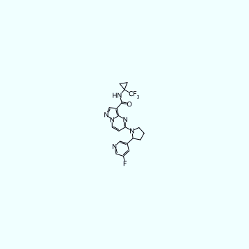 O=C(NC1(C(F)(F)F)CC1)c1cnn2ccc(N3CCCC3c3cncc(F)c3)nc12